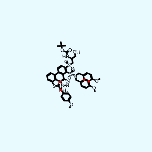 COc1ccc(CN(Cc2ccc(OC)cc2)S(=O)(=O)c2c(S(=O)(=O)CC(CO)NC(=O)OC(C)(C)C)ccc(-c3cccc4sc(N)nc34)c2-c2nnn(Cc3ccc(OC)cc3)n2)cc1